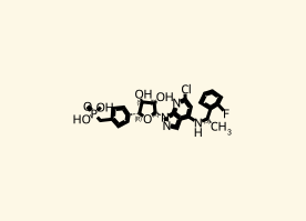 C[C@H](Nc1cc(Cl)nc2c1cnn2[C@@H]1O[C@H](c2ccc(CP(=O)(O)O)cc2)[C@@H](O)[C@H]1O)c1ccccc1F